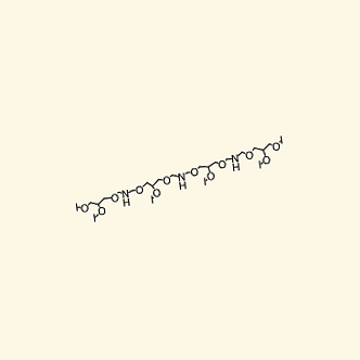 IOCC(COCNCOCC(COCNCOCC(COCNCOCC(COI)OI)OI)OI)OI